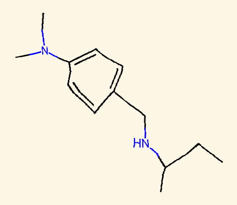 CCC(C)NCc1ccc(N(C)C)cc1